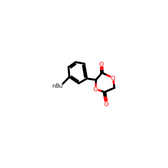 CCCCc1cccc(C2OC(=O)COC2=O)c1